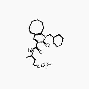 CC(CCC(=O)O)NC(=O)c1cc2c(n(CC3CCCCC3)c1=O)CCCCCC2